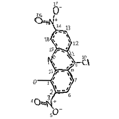 Cc1c([N+](=O)[O-])ccc2c(Cl)c3ccc([N+](=O)[O-])cc3nc12